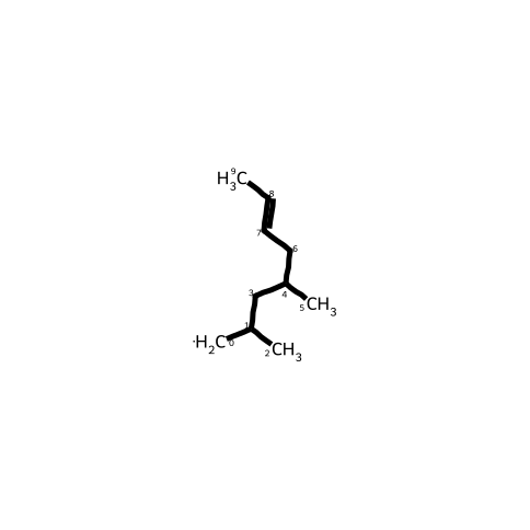 [CH2]C(C)CC(C)C/C=C/C